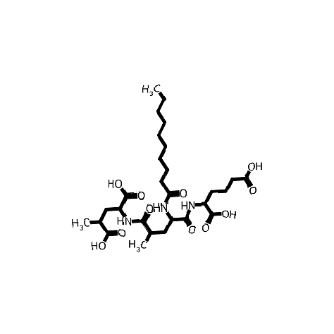 CCCCCCCCCC(=O)NC(CC(C)C(=O)NC(CC(C)C(=O)O)C(=O)O)C(=O)NC(CCCC(=O)O)C(=O)O